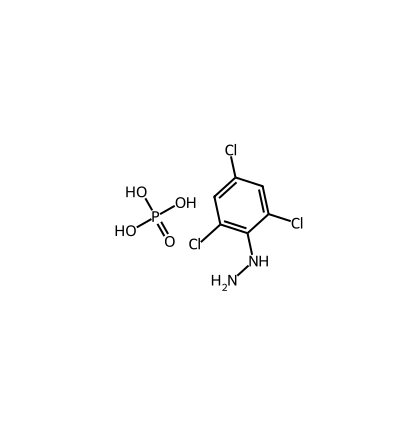 NNc1c(Cl)cc(Cl)cc1Cl.O=P(O)(O)O